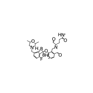 BC(B)(Oc1cccc(C=O)c1CN(C)C(C=O)CCC(=O)NC)c1cc(CN2CC(C)OC(C)C2)ccc1F